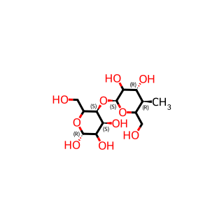 C[C@H]1C(CO)O[C@@H](O[C@@H]2C(CO)O[C@@H](O)C(O)[C@@H]2O)C(O)[C@@H]1O